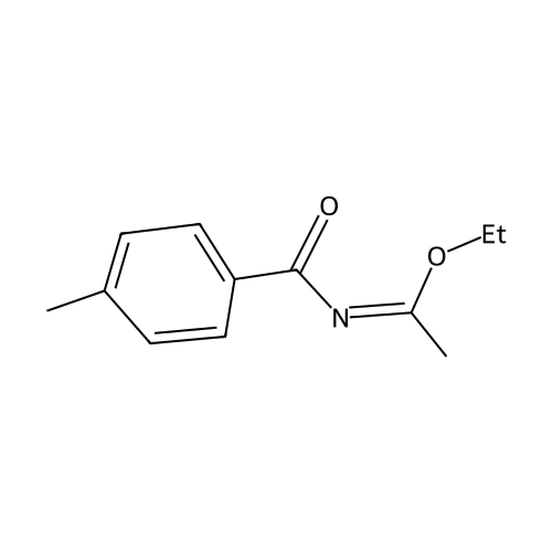 CCOC(C)=NC(=O)c1ccc(C)cc1